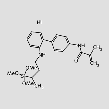 C=C(C)C(=O)Nc1ccc(-c2ccccc2NCCC(C)[Si](OC)(OC)OC)cc1.I